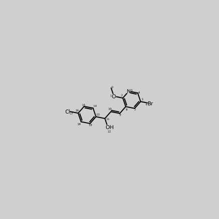 COc1ncc(Br)cc1/C=C/C(O)c1ccc(Cl)cc1